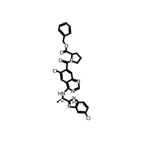 C[C@@H](Nc1ncnc2cc(C(=O)N3CCCC3C(=O)OCc3ccccc3)c(Cl)cc12)c1nc2cc(Cl)ccc2[nH]1